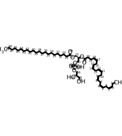 CC/C=C\C/C=C\C/C=C\C/C=C\C/C=C\C/C=C\CCC(=O)O[C@H](COC(=O)CCCCCCCCCCCCCCCCCCCCC)COP(=O)(O)OC[C@@H](O)CO